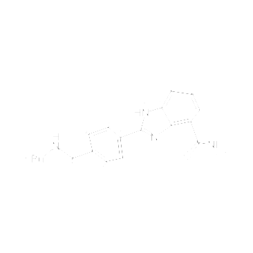 CCCCNCc1ccc(-c2nc3c(C(N)=O)cccc3[nH]2)cc1